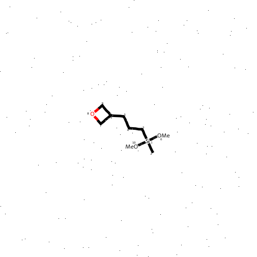 CO[Si](C)(CCCC1COC1)OC